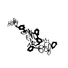 CCOc1nc2cccc(C(=O)OC(C)OC(=O)OC3CCCCC3)c2n1Cc1ccc(-c2ccccc2-c2nnn(C(=O)c3cccc(CON(O)O)c3)n2)cc1